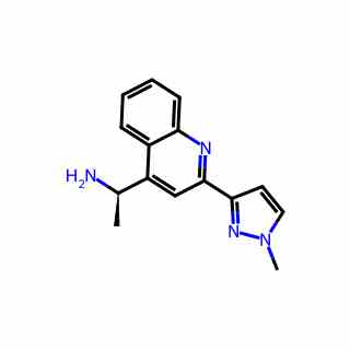 C[C@@H](N)c1cc(-c2ccn(C)n2)nc2ccccc12